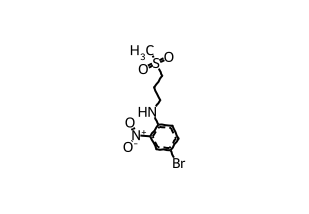 CS(=O)(=O)CCCNc1ccc(Br)cc1[N+](=O)[O-]